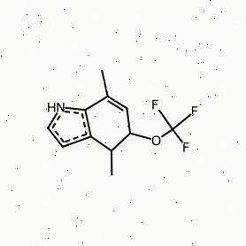 CC1=CC(OC(F)(F)F)C(C)c2cc[nH]c21